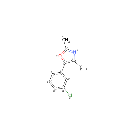 [CH2]c1nc(C)oc1-c1cccc(Cl)c1